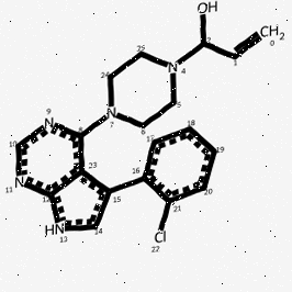 C=CC(O)N1CCN(c2ncnc3[nH]cc(-c4ccccc4Cl)c23)CC1